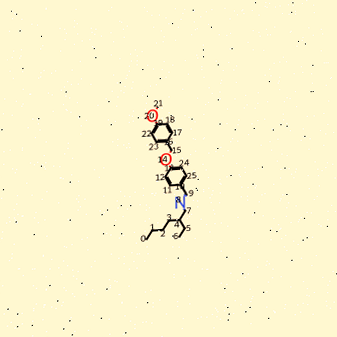 CCCCC(CC)CN=Cc1ccc(OCc2ccc(OC)cc2)cc1